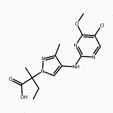 CCC(C)(C(=O)O)n1cc(Nc2ncc(Cl)c(OC)n2)c(C)n1